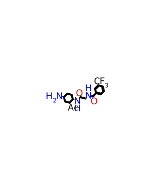 CC(=O)[C@H]1C[C@H](N)CC[C@@H]1NC(=O)CNC(=O)c1cccc(C(F)(F)F)c1